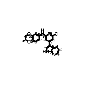 Clc1cc(-c2c[nH]c3ncccc23)cc(Nc2ccc3c(c2)OCCO3)n1